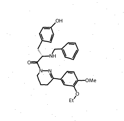 CCOc1cc(C2=NN(C(=O)[C@H](Cc3ccc(O)cc3)NCc3ccccc3)CCC2)ccc1OC